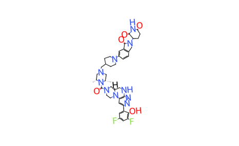 C[C@@H]1CN(CC2CCN(c3ccc4c(c3)C(=O)N([C@@H]3CCC(=O)NC3=O)C4)CC2)C[C@H](C)N1C(=O)N1CCN2c3cc(-c4cc(F)cc(F)c4O)nnc3NC[C@H]2C1